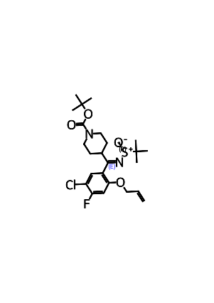 C=CCOc1cc(F)c(Cl)cc1/C(=N/[S@@+]([O-])C(C)(C)C)C1CCN(C(=O)OC(C)(C)C)CC1